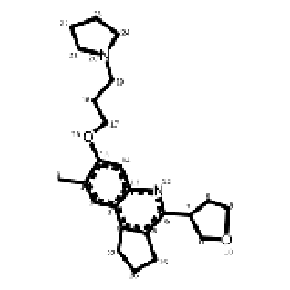 Cc1cc2c3c(c(C4CCOC4)nc2cc1OCCCN1CCCC1)CCC3